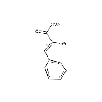 CCC/C(=C\c1ccccc1)C(=O)OC